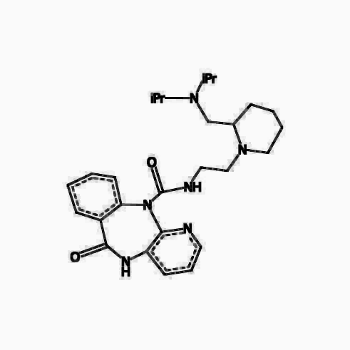 CC(C)N(CC1CCCCN1CCNC(=O)N1c2ccccc2C(=O)Nc2cccnc21)C(C)C